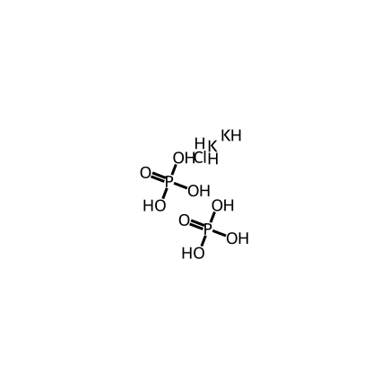 Cl.O=P(O)(O)O.O=P(O)(O)O.[KH].[KH]